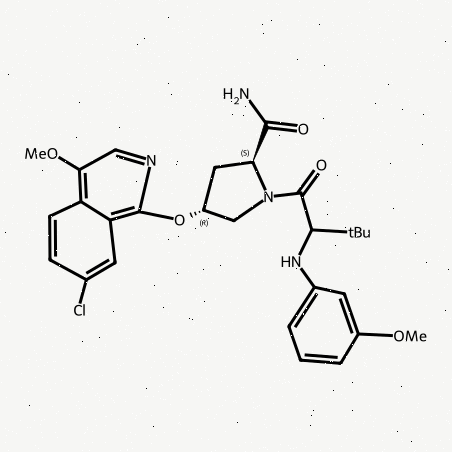 COc1cccc(NC(C(=O)N2C[C@H](Oc3ncc(OC)c4ccc(Cl)cc34)C[C@H]2C(N)=O)C(C)(C)C)c1